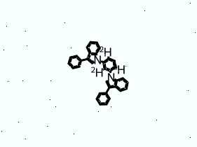 [2H]c1cc([2H])c(-n2cc(-c3ccccc3)c3ccccc32)c([2H])c1-n1cc(-c2ccccc2)c2ccccc21